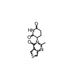 Cc1nc2cscc2c(=O)n1C1CCC(=O)NC1=O